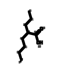 CCCC(CCCF)C(=O)O